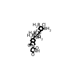 Bc1cc(C(F)(F)C(=O)N(B)C(B)(B)c2ccc3c(c2)CN(C2CCC(=O)NC2=O)C3=O)cc(B)c1Cl